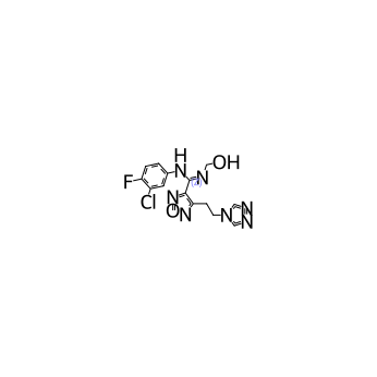 OC/N=C(\Nc1ccc(F)c(Cl)c1)c1nonc1CCn1cnnc1